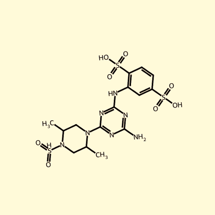 CC1CN([SH](=O)=O)C(C)CN1c1nc(N)nc(Nc2cc(S(=O)(=O)O)ccc2S(=O)(=O)O)n1